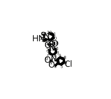 O=C1OCc2cc(Cl)ccc2N1C1CCN(S(=O)(=O)C2=CC=CN3SNC=C23)CC1